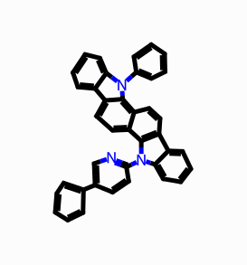 c1ccc(-c2ccc(-n3c4ccccc4c4ccc5c(ccc6c7ccccc7n(-c7ccccc7)c65)c43)nc2)cc1